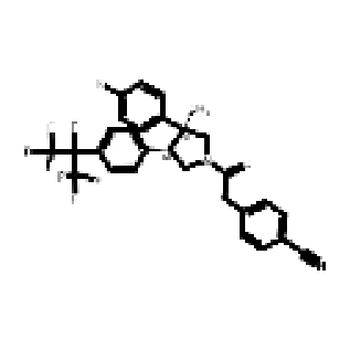 C[C@]1(c2ccc(F)cc2)CN(C(=O)Cc2ccc(C#N)cc2)C[C@H]1c1ccc(C(F)(C(F)(F)F)C(F)(F)F)cc1